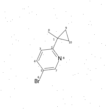 CC1(c2ccc(Br)cn2)CC1